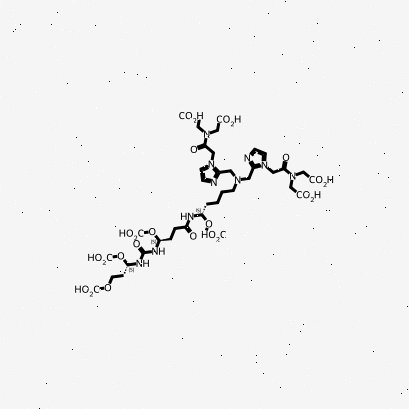 O=C(O)CN(CC(=O)O)C(=O)Cn1ccnc1CN(CCCC[C@@H](NC(=O)CC[C@@H](NC(=O)N[C@H](CCOC(=O)O)OC(=O)O)OC(=O)O)OC(=O)O)Cc1nccn1CC(=O)N(CC(=O)O)CC(=O)O